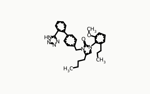 CCCCc1cn(-c2c(CCC)cccc2OC)c(=O)n1Cc1ccc(-c2ccccc2-c2nnn[nH]2)cc1